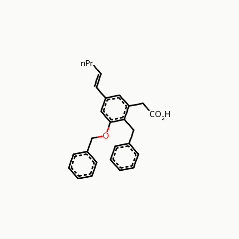 CCCC=Cc1cc(CC(=O)O)c(Cc2ccccc2)c(OCc2ccccc2)c1